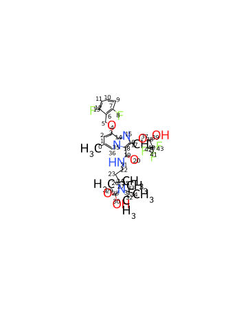 Cc1cc(OCc2c(F)cccc2F)c2nc(C)c(C(=O)NCCC(C)(C)N(C(=O)O)C(C)(C)C)n2c1.O=C(O)C(F)(F)F